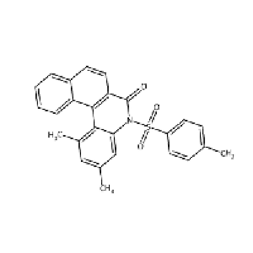 Cc1ccc(S(=O)(=O)n2c(=O)c3ccc4ccccc4c3c3c(C)cc(C)cc32)cc1